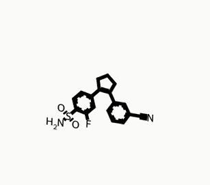 N#Cc1cccc(C2=C(c3ccc(S(N)(=O)=O)c(F)c3)CCC2)c1